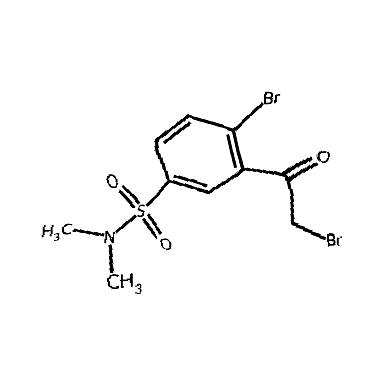 CN(C)S(=O)(=O)c1ccc(Br)c(C(=O)CBr)c1